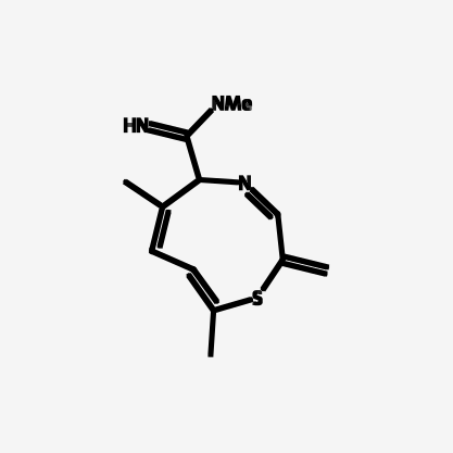 C=C1/C=N\C(C(=N)NC)C(C)=C/C=C(\C)S1